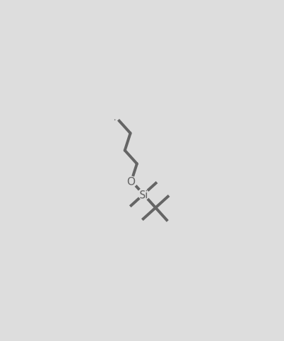 [CH2]CCCO[Si](C)(C)C(C)(C)C